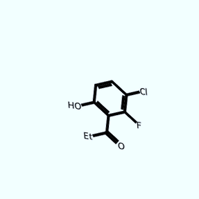 CCC(=O)c1c(O)ccc(Cl)c1F